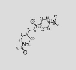 CC(=O)N1CCC(CCC(=O)c2ccc(N(C)C)cc2)CC1